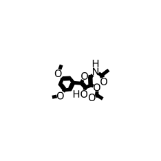 COc1cc(OC)cc(-c2oc(NC(C)=O)c(OC(C)=O)c2O)c1